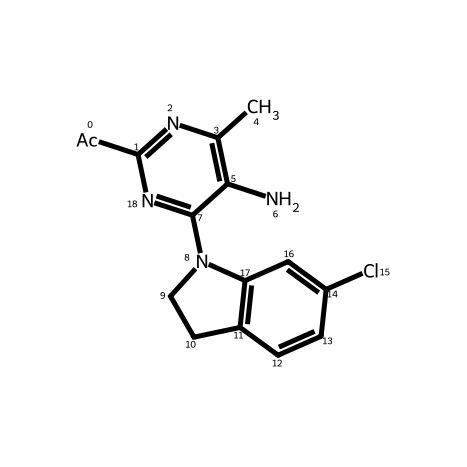 CC(=O)c1nc(C)c(N)c(N2CCc3ccc(Cl)cc32)n1